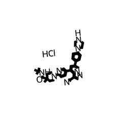 CC(C)(C)NC(=O)C1(C)CCN(c2ccc(-c3cc(-c4ccc(N5CCNCC5)cc4)cn4ncc(C#N)c34)cn2)CC1.Cl